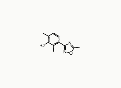 Cc1nc(-c2ccc(C)c([O])c2C)no1